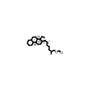 CC(CCC[C@@H](C)[C@H]1CC[C@H]2[C@@H]3CCC4CCCC[C@]4(C)[C@H]3CC[C@]12C)COC=O